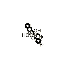 CN1CCN(C[C@@H](O)C2Cc3ccccc3CN2C(=O)O)C(=O)c2ccc(Br)cc21